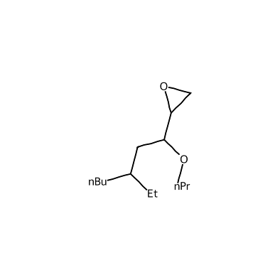 CCCCC(CC)CC(OCCC)C1CO1